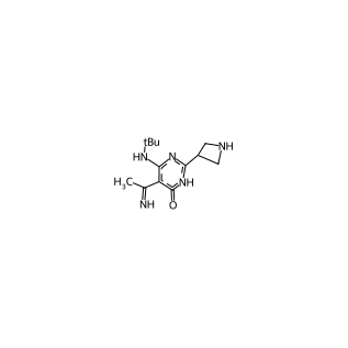 CC(=N)c1c(NC(C)(C)C)nc(C2CNC2)[nH]c1=O